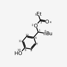 CCCCC(OC(=O)CC)c1ccc(O)cc1